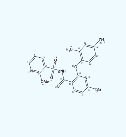 COc1ncccc1S(=O)(=O)NC(=O)c1ccc(C(C)(C)C)nc1Oc1ccc(C)cc1C